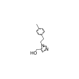 Cc1ccc(CCn2cncc2CO)cc1